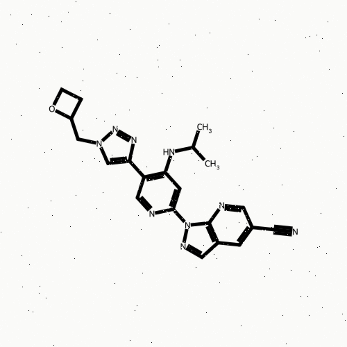 CC(C)Nc1cc(-n2ncc3cc(C#N)cnc32)ncc1-c1cn(CC2CCO2)nn1